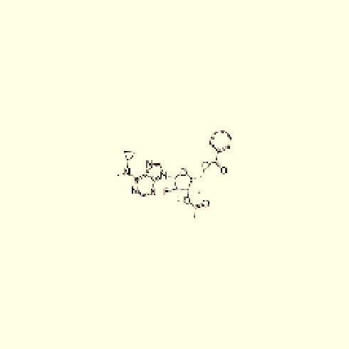 CC(=O)O[C@]1(C)[C@@H](COC(=O)c2ccccc2)O[C@@H](n2cnc3c(N(C)C4CC4)ncnc32)[C@]1(C)F